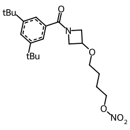 CC(C)(C)c1cc(C(=O)N2CC(OCCCCO[N+](=O)[O-])C2)cc(C(C)(C)C)c1